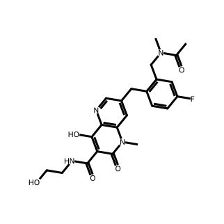 CC(=O)N(C)Cc1cc(F)ccc1Cc1cnc2c(O)c(C(=O)NCCO)c(=O)n(C)c2c1